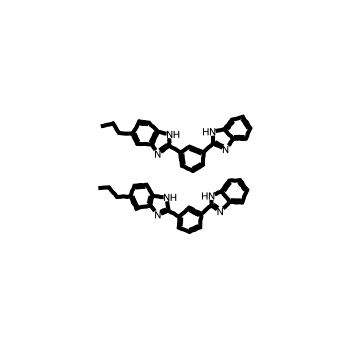 CCCc1ccc2[nH]c(-c3cccc(-c4nc5ccccc5[nH]4)c3)nc2c1.CCCc1ccc2[nH]c(-c3cccc(-c4nc5ccccc5[nH]4)c3)nc2c1